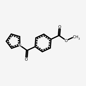 COC(=O)c1ccc(C(=O)n2cccc2)cc1